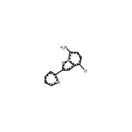 Nc1ccc(Cl)c2cc(-c3ccccn3)nn12